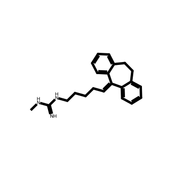 CNC(=N)NCCCCC=C1c2ccccc2CCc2ccccc21